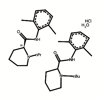 CCCCN1CCCCC1C(=O)Nc1c(C)cccc1C.CCCN1CCCC[C@H]1C(=O)Nc1c(C)cccc1C.Cl.O